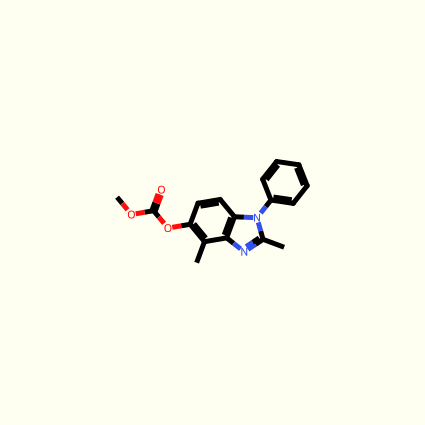 COC(=O)Oc1ccc2c(nc(C)n2-c2ccccc2)c1C